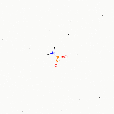 CN(C)P(=O)=O